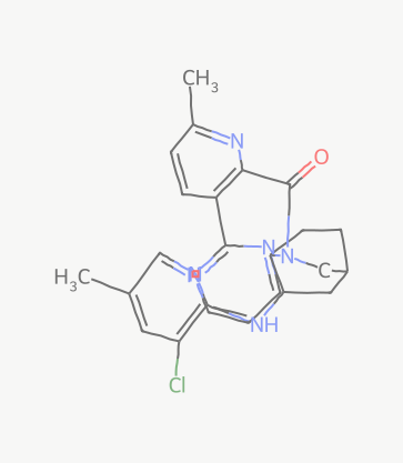 Cc1cnc(NC2CC3CCC2N(C(=O)c2nc(C)ccc2-c2ncccn2)C3)c(Cl)c1